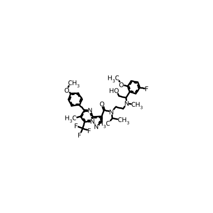 COc1ccc(-c2nc3c(C(=O)N(CCN(C)C(CO)c4cc(F)ccc4OC)C(C)C)cnn3c(C(F)(F)F)c2C)cc1